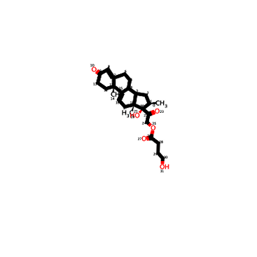 C[C@@H]1CC2C3CCC4=CC(=O)CC[C@]4(C)C3=CC[C@]2(C)[C@@]1(O)C(=O)COC(=O)CCCO